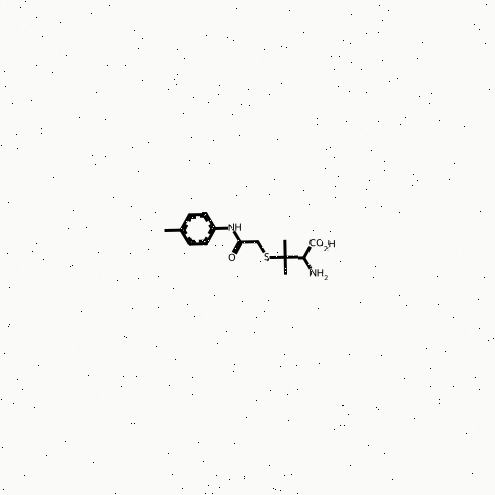 Cc1ccc(NC(=O)CSC(C)(C)C(N)C(=O)O)cc1